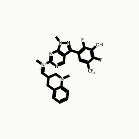 CN1CC(/C=[N+](/C)c2ncc3c(-c4cc(C(F)(F)F)c(F)c(O)c4F)nn(C)c3n2)Cc2ccccc21